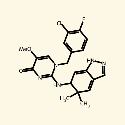 COc1cn(Cc2ccc(F)c(Cl)c2)c(NC2C=c3[nH]ncc3=CC2(C)C)nc1=O